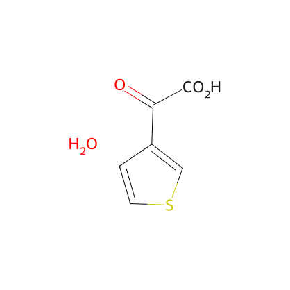 O.O=C(O)C(=O)c1ccsc1